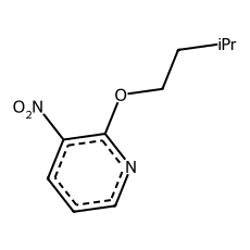 CC(C)CCOc1ncccc1[N+](=O)[O-]